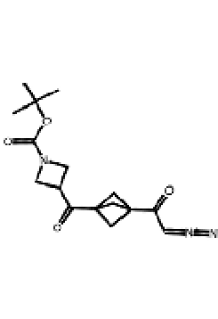 CC(C)(C)OC(=O)N1CC(C(=O)C23CC(C(=O)C=[N+]=[N-])(C2)C3)C1